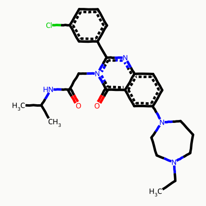 CCN1CCCN(c2ccc3nc(-c4cccc(Cl)c4)n(CC(=O)NC(C)C)c(=O)c3c2)CC1